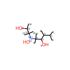 CC(C)C(C)C(O)C(C)(C)N(O)C(C)(C)C(C)O